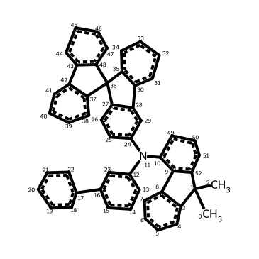 CC1(C)c2ccccc2-c2c(N(c3cccc(-c4ccccc4)c3)c3ccc4c(c3)-c3ccccc3C43c4ccccc4-c4ccccc43)cccc21